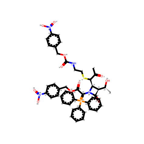 CC(=O)C(SCCNC(=O)OCc1ccc([N+](=O)[O-])cc1)[C@H]1[C@@H]([C@@H](C)O)C(=O)N1C(C(=O)OCc1ccc([N+](=O)[O-])cc1)=P(c1ccccc1)(c1ccccc1)c1ccccc1